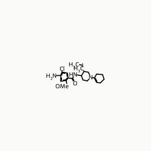 CI.COc1cc(N)c(Cl)cc1C(=O)NC1CCN(C2=CCCCC2)CC1C